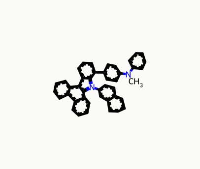 CN(c1ccccc1)c1ccc(-c2cccc3c4c5ccccc5c5ccccc5c4n(-c4ccc5ccccc5c4)c23)cc1